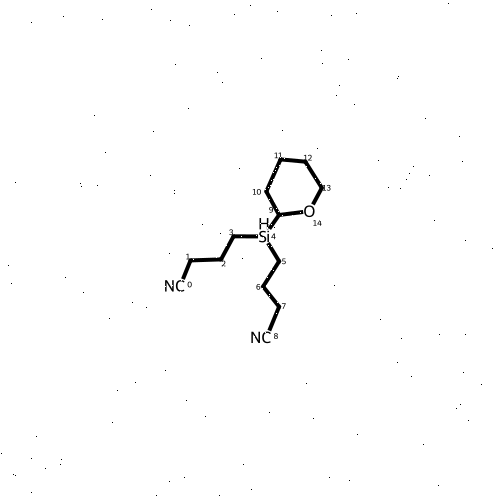 N#CCCC[SiH](CCCC#N)C1CCCCO1